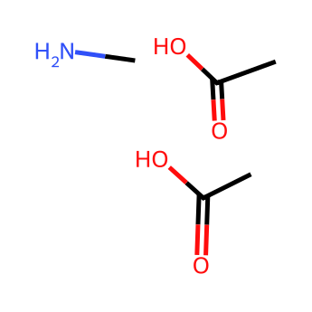 CC(=O)O.CC(=O)O.CN